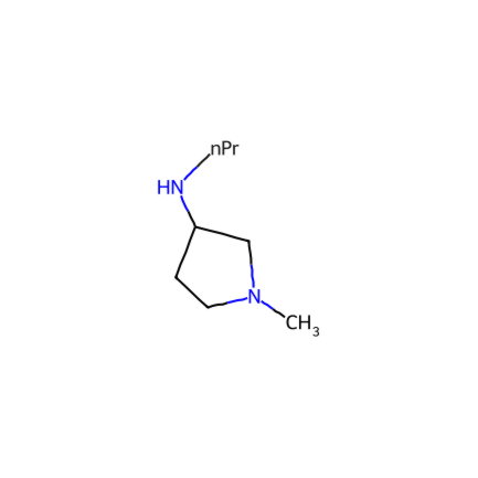 CCCNC1CCN(C)C1